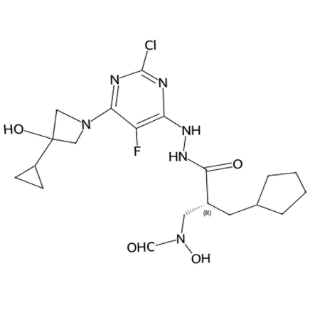 O=CN(O)C[C@@H](CC1CCCC1)C(=O)NNc1nc(Cl)nc(N2CC(O)(C3CC3)C2)c1F